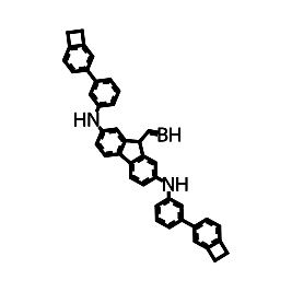 B=CC1c2cc(Nc3cccc(-c4ccc5c(c4)CC5)c3)ccc2-c2ccc(Nc3cccc(-c4ccc5c(c4)CC5)c3)cc21